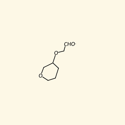 O=[C]COC1CCCOC1